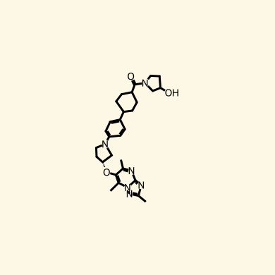 Cc1nc2nc(C)c(O[C@@H]3CCN(c4ccc(C5CCC(C(=O)N6CCC(O)C6)CC5)cc4)C3)c(C)n2n1